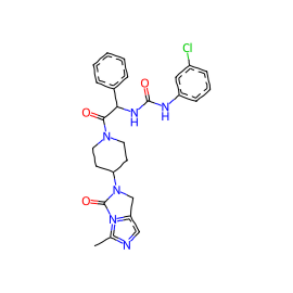 Cc1ncc2n1C(=O)N(C1CCN(C(=O)C(NC(=O)Nc3cccc(Cl)c3)c3ccccc3)CC1)C2